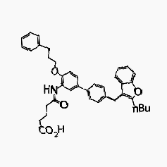 CCCCc1oc2ccccc2c1Cc1ccc(-c2ccc(OCCCc3ccccc3)c(NC(=O)CCCC(=O)O)c2)cc1